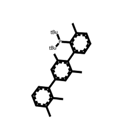 Cc1cccc(-c2cc(C)c(-c3cccc(C)c3P(C(C)(C)C)C(C)(C)C)c(C)c2)c1C